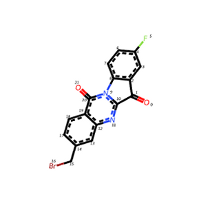 O=C1c2cc(F)ccc2-n2c1nc1cc(CBr)ccc1c2=O